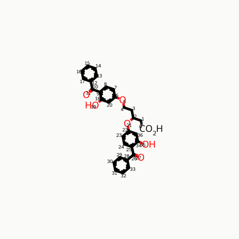 O=C(O)CC(CCOc1ccc(C(=O)c2ccccc2)c(O)c1)Oc1ccc(C(=O)c2ccccc2)c(O)c1